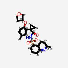 Cc1ccc(O[C@@H]2CCOC2)c(C2(C(=O)NS(=O)(=O)c3cccc4nc(C)ccc34)CC2)c1